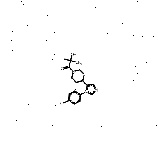 CC(O)(C(=O)N1CCC(c2cncn2-c2ccc(Cl)cc2)CC1)C(F)(F)F